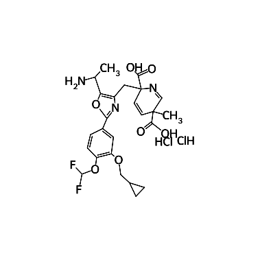 CC(N)c1oc(-c2ccc(OC(F)F)c(OCC3CC3)c2)nc1CC1(C(=O)O)C=CC(C)(C(=O)O)C=N1.Cl.Cl